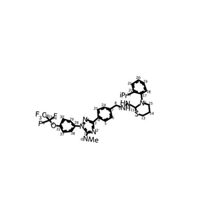 CNc1nc(-c2ccc(CNNC3SCCCN3c3ccccc3C(C)C)cc2)nn1-c1ccc(OC(F)(F)C(F)(F)F)cc1